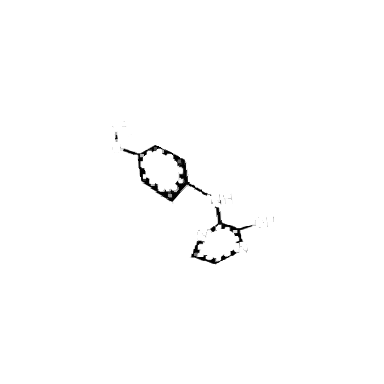 Oc1nccnc1Nc1ccc(OC(F)(F)F)cc1